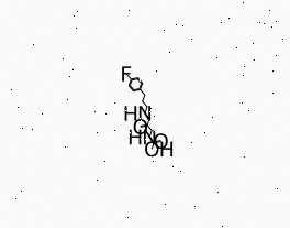 O=C(CNCCCc1ccc(F)cc1)CNC(=O)O